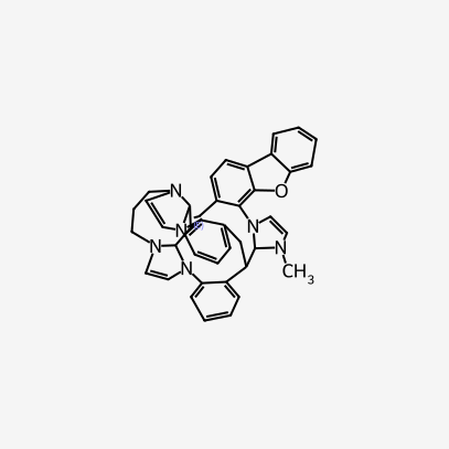 CN1C=CN2c3c(ccc4c3oc3ccccc34)/C=C3\C4N5C=CN4c4ccccc4CC(c4ccccc4N4C=CN(CCC5)C34)C12